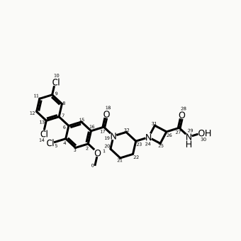 COc1cc(Cl)c(-c2cc(Cl)ccc2Cl)cc1C(=O)N1CCCC(N2CC(C(=O)NO)C2)C1